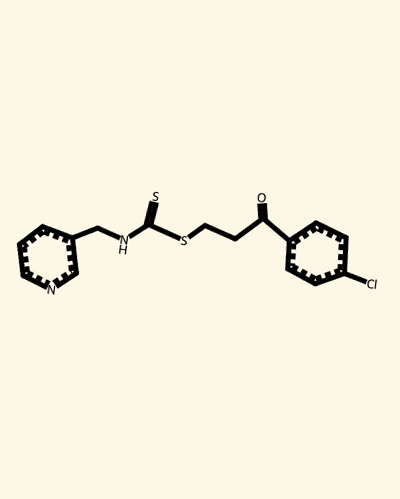 O=C(CCSC(=S)NCc1cccnc1)c1ccc(Cl)cc1